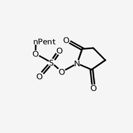 CCCCCOS(=O)(=O)ON1C(=O)CCC1=O